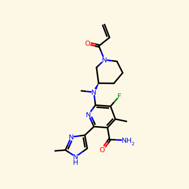 C=CC(=O)N1CCC[C@@H](N(C)c2nc(-c3c[nH]c(C)n3)c(C(N)=O)c(C)c2F)C1